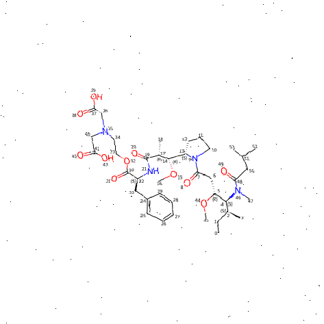 CC[C@H](C)[C@@H]([C@@H](CC(=O)N1CCC[C@H]1[C@H](OC)[C@@H](C)C(=O)N[C@@H](Cc1ccccc1)C(=O)OCCN(CC(=O)O)CC(=O)O)OC)N(C)C(=O)CC(C)C